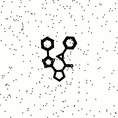 O=C(C1CC1c1ccccc1)N1CCCC1c1nnc(-c2ccccc2)o1